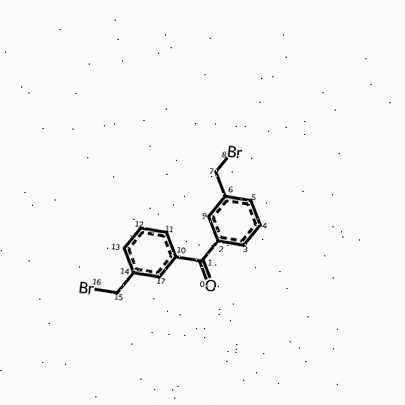 O=C(c1cccc(CBr)c1)c1cccc(CBr)c1